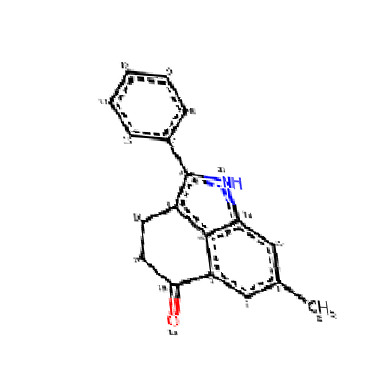 Cc1cc2c3c(c(-c4ccccc4)[nH]c3c1)CCC2=O